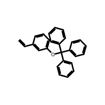 C=Cc1cccc(OC(c2ccccc2)(c2ccccc2)c2ccccc2)c1